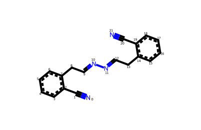 N#Cc1ccccc1C/C=N/N=C/Cc1ccccc1C#N